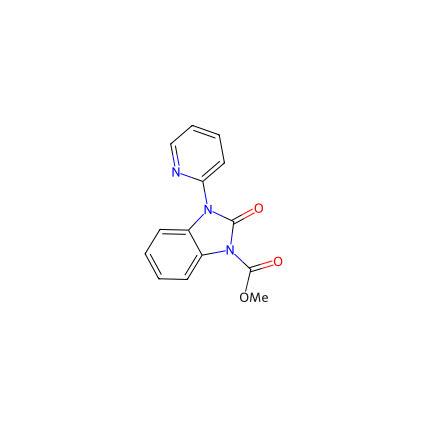 COC(=O)n1c(=O)n(-c2ccccn2)c2ccccc21